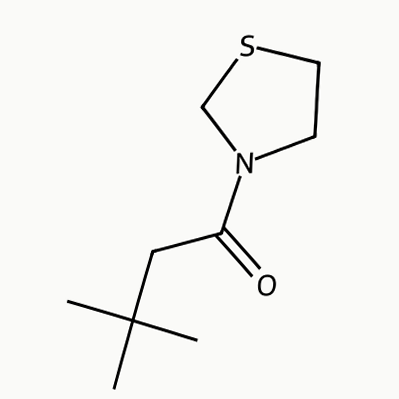 CC(C)(C)CC(=O)N1CCSC1